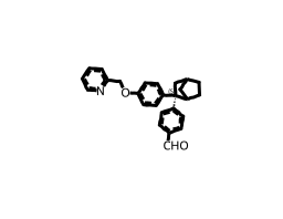 O=Cc1ccc([C@]2(c3ccc(OCc4ccccn4)cc3)CC3CCC2C3)cc1